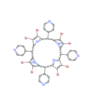 BrC1=C(Br)c2nc1c(-c1ccncc1)c1[nH]c(c(Br)c1Br)c(-c1ccncc1)c1nc(c(-c3ccncc3)c3[nH]c(c(Br)c3Br)c2-c2ccncc2)C(Br)=C1Br